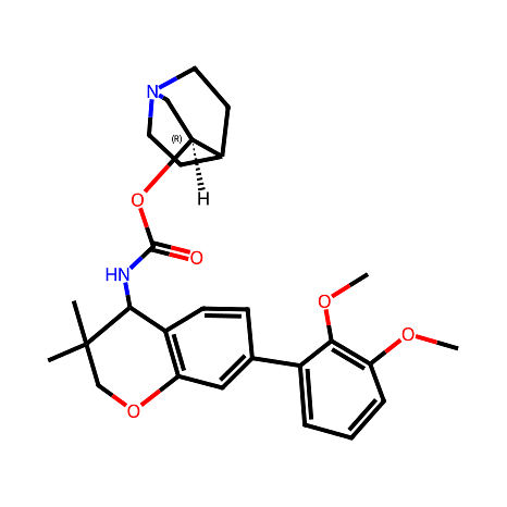 COc1cccc(-c2ccc3c(c2)OCC(C)(C)C3NC(=O)O[C@H]2CN3CCC2CC3)c1OC